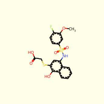 COc1cc(S(=O)(=O)Nc2cc(SCC(=O)O)c(O)c3ccccc23)ccc1F